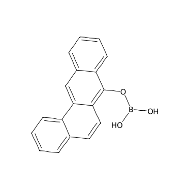 OB(O)Oc1c2ccccc2cc2c1ccc1ccccc12